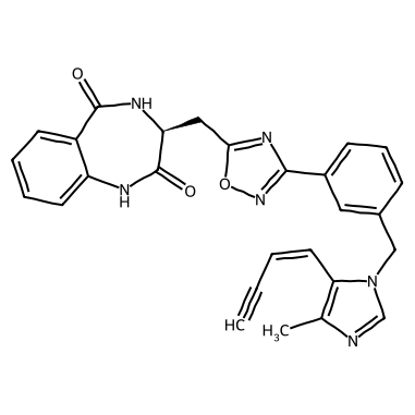 C#C/C=C\c1c(C)ncn1Cc1cccc(-c2noc(C[C@@H]3NC(=O)c4ccccc4NC3=O)n2)c1